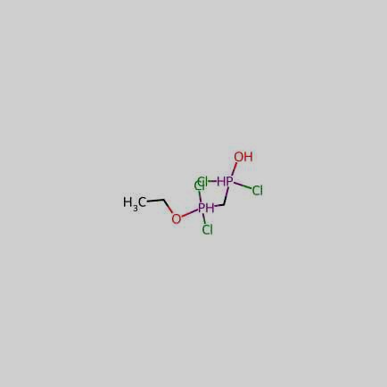 CCO[PH](Cl)(Cl)C[PH](O)(Cl)Cl